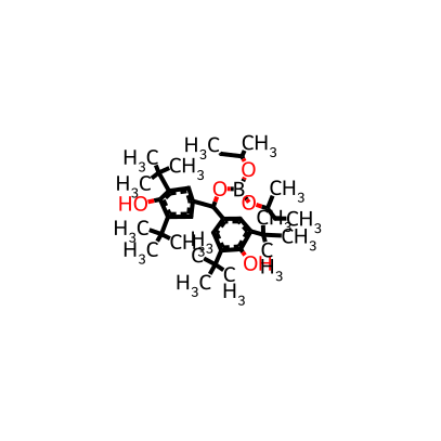 CCC(C)OB(OC(C)CC)OC(c1cc(C(C)(C)C)c(O)c(C(C)(C)C)c1)c1cc(C(C)(C)C)c(O)c(C(C)(C)C)c1